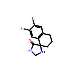 CCc1cc2c(cc1CC)C1(CCC2)NCNC1=O